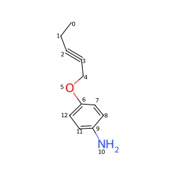 CCC#CCOc1ccc(N)cc1